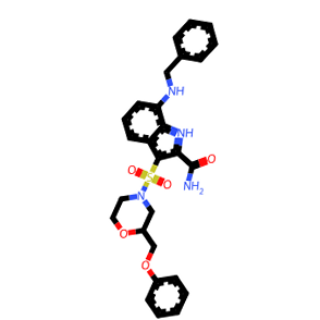 NC(=O)c1[nH]c2c(NCc3ccccc3)cccc2c1S(=O)(=O)N1CCOC(COc2ccccc2)C1